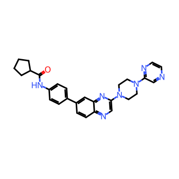 O=C(Nc1ccc(-c2ccc3ncc(N4CCN(c5cnccn5)CC4)nc3c2)cc1)C1CCCC1